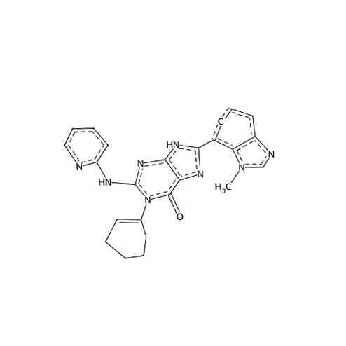 Cn1cnc2cccc(-c3nc4c(=O)n(C5=CCCCC5)c(Nc5ccccn5)nc4[nH]3)c21